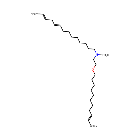 CCCCCC=CCC=CCCCCCCCCN(CCOCCCCCCCCC=CCCCCCC)C(=O)O